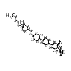 CCCCC[SiH]1CCC(CC[C@H]2CC[C@H](c3ccc(-c4ccc(OC(F)(F)F)c(F)c4)cc3)CC2)CC1